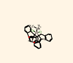 CCCCC1=Cc2ccccc2[C]1(Cc1ccccc1)[Hf]([Cl])([Cl])([SiH](C)C)[C]1(Cc2ccccc2)C(CCCC)=Cc2ccccc21